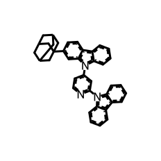 c1ccc2c(c1)c1ccc(C34CC5CC(CC(C5)C3)C4)cc1n2-c1ccnc(-n2c3ccccc3c3ccccc32)c1